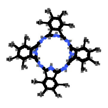 Cc1c(C)c(C)c2c(c1C)-c1nc-2nc2[nH]c(nc3nc(nc4[nH]c(n1)c1c(C)c(C)c(C)c(C)c41)-c1c(C)c(C)c(C)c(C)c1-3)c1c(C)c(C)c(C)c(C)c21